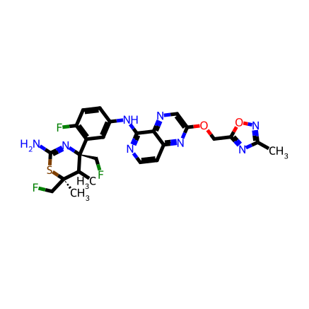 Cc1noc(COc2cnc3c(Nc4ccc(F)c([C@@]5(CF)N=C(N)S[C@](C)(CF)C5C)c4)nccc3n2)n1